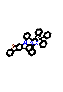 c1ccc(-c2nc(-c3ccccc3-n3c4ccccc4c4cc5c(cc43)sc3ccccc35)c3c(n2)[Si](c2ccccc2)(c2ccccc2)c2ccccc2-3)cc1